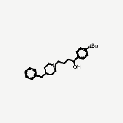 CC(C)(C)c1ccc(C(O)CCCN2CCC(Cc3ccccc3)CC2)cc1